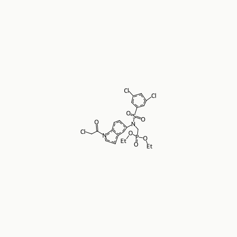 CCOP(=O)(CN(c1ccc2c(ccn2C(=O)CCl)c1)S(=O)(=O)c1cc(Cl)cc(Cl)c1)OCC